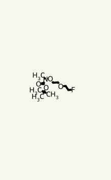 CN(OCCOCCF)C(=O)OC(C)(C)C